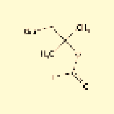 CC(C)(C)CC(C)(C)OC(=O)F